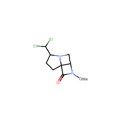 CON1C(=O)C23CCC(C(Cl)Cl)N2CC13